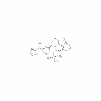 CC(C)(C)OC(=O)N1[C@@H](c2cccc(C(O)c3ncco3)n2)CCC[C@H]1c1ncccc1Cl